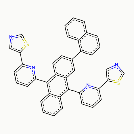 c1cc(-c2cncs2)nc(-c2c3ccccc3c(-c3cccc(-c4cncs4)n3)c3cc(-c4cccc5ccccc45)ccc23)c1